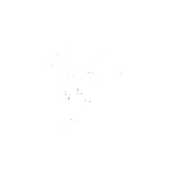 c1ccc(-c2cccc(N(c3ccc(-c4cccc5ccccc45)cc3)c3nccc4c3oc3c5ccccc5ccc43)c2)cc1